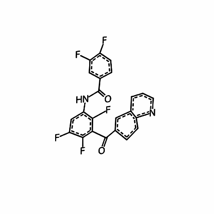 O=C(Nc1cc(F)c(F)c(C(=O)c2ccc3ncccc3c2)c1F)c1ccc(F)c(F)c1